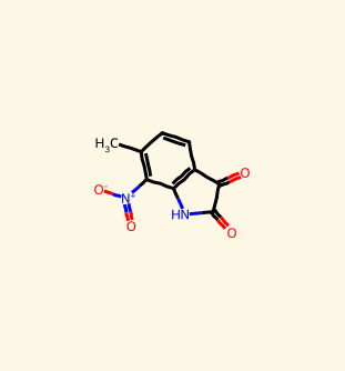 Cc1ccc2c(c1[N+](=O)[O-])NC(=O)C2=O